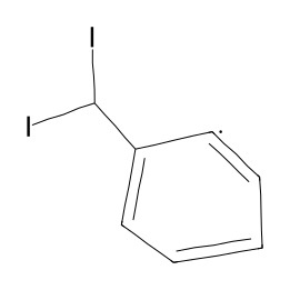 IC(I)c1[c]cccc1